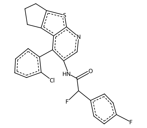 O=C(Nc1cnc2sc3c(c2c1-c1ccccc1Cl)CCC3)C(F)c1ccc(F)cc1